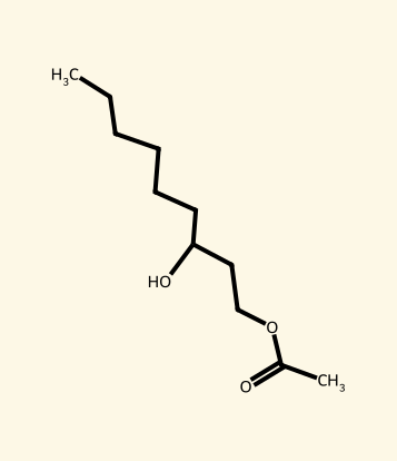 CCCCCCC(O)CCOC(C)=O